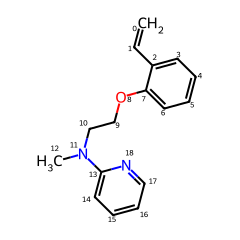 C=Cc1ccccc1OCCN(C)c1ccccn1